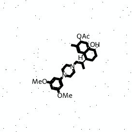 COc1cc(OC)cc(N2CCN(CC(C)[C@@H]3CC[C@@H](C)[C@]4(O)[CH][C@@H](OC(C)=O)C(C)=C[C@H]34)CC2)c1